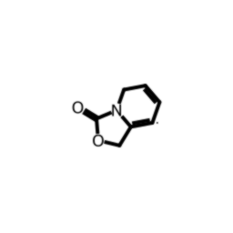 O=C1OCC2=[C]C=CCN12